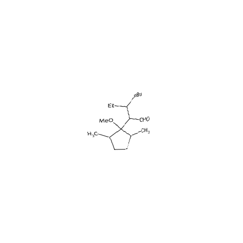 CCCCC(CC)C(C=O)C1(OC)C(C)CCC1C